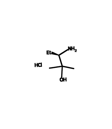 CC[C@@H](N)C(C)(C)O.Cl